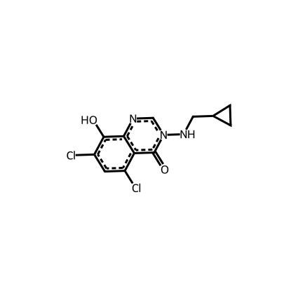 O=c1c2c(Cl)cc(Cl)c(O)c2ncn1NCC1CC1